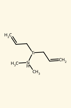 C=C[CH2][Ti]([CH2]C=C)[SiH](C)C